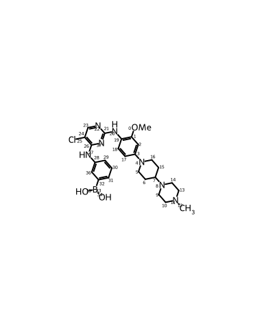 COc1cc(N2CCC(N3CCN(C)CC3)CC2)ccc1Nc1ncc(Cl)c(Nc2cccc(B(O)O)c2)n1